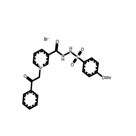 COc1ccc(S(=O)(=O)NNC(=O)c2ccc[n+](CC(=O)c3ccccc3)c2)cc1.[Br-]